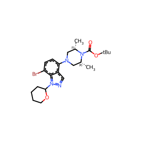 C[C@@H]1CN(c2ccc(Br)c3c2cnn3C2CCCCO2)C[C@H](C)N1C(=O)OC(C)(C)C